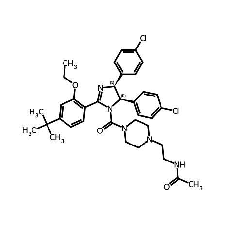 CCOc1cc(C(C)(C)C)ccc1C1=N[C@@H](c2ccc(Cl)cc2)[C@@H](c2ccc(Cl)cc2)N1C(=O)N1CCN(CCNC(C)=O)CC1